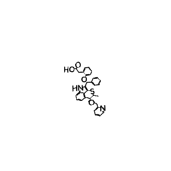 CC1Sc2c(C(Oc3ccccc3CC(=O)O)c3ccccc3)[nH]c3cccc(c23)C1OCc1ccccn1